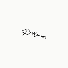 CC1(C)CC(N2CC(C#N)C2)CN1